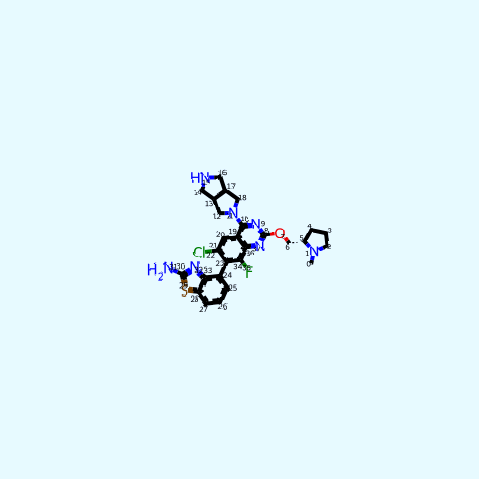 CN1CCC[C@H]1COc1nc(N2CC3CNCC3C2)c2cc(Cl)c(-c3cccc4sc(N)nc34)c(F)c2n1